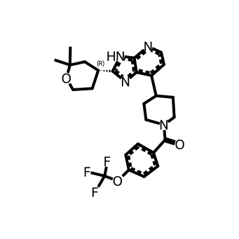 CC1(C)C[C@H](c2nc3c(C4CCN(C(=O)c5ccc(OC(F)(F)F)cc5)CC4)ccnc3[nH]2)CCO1